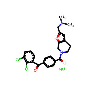 CN(C)Cc1cc2c(o1)CN(C(=O)c1ccc(C(=O)c3cccc(Cl)c3Cl)cc1)CC2.Cl